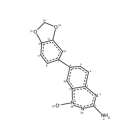 Nc1nc2ccc(-c3ccc4c(c3)OCO4)cc2[n+]([O-])n1